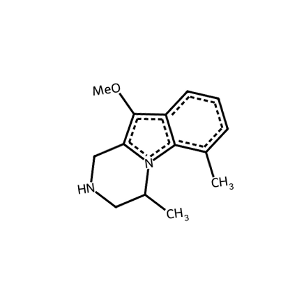 COc1c2n(c3c(C)cccc13)C(C)CNC2